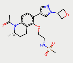 CC(=O)N1c2ccc(-c3cnn(C4COC4)c3)c(OCCNS(C)(=O)=O)c2CC[C@@H]1C